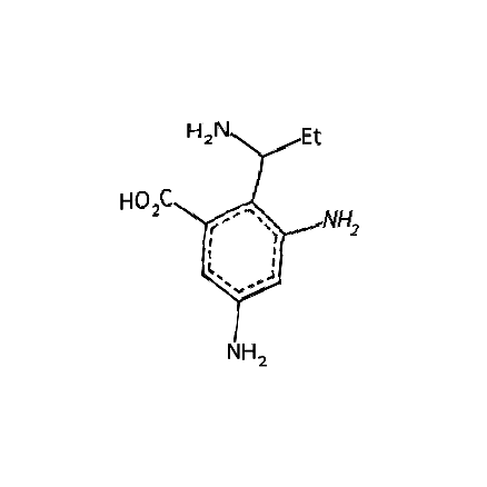 CCC(N)c1c(N)cc(N)cc1C(=O)O